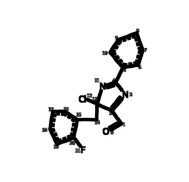 O=CC1=NC(c2ccccc2)=NC1(Cl)Cc1ccccc1F